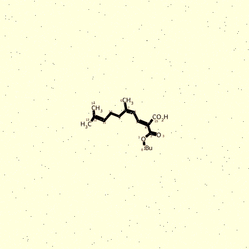 CCC(C)OC(=O)C(=CC=C(C)CCC=C(C)C)C(=O)O